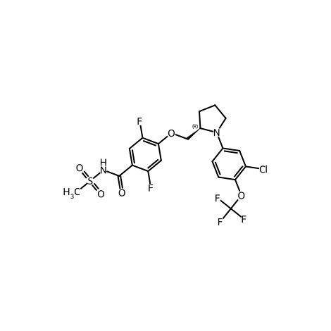 CS(=O)(=O)NC(=O)c1cc(F)c(OC[C@H]2CCCN2c2ccc(OC(F)(F)F)c(Cl)c2)cc1F